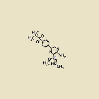 CN/N=C(\OC)c1nc(-c2ccc(S(=O)(=O)C(C)C)cc2)cnc1N